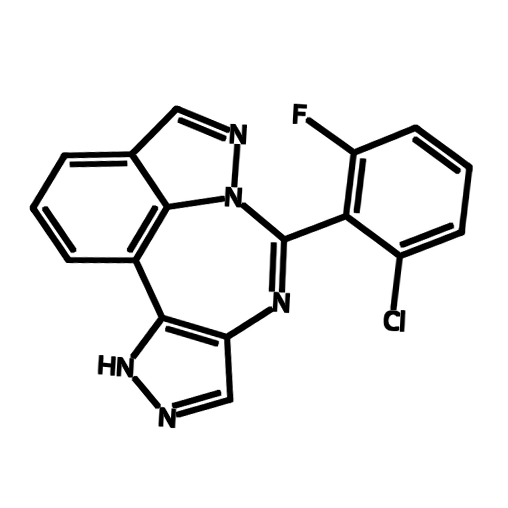 Fc1cccc(Cl)c1C1=Nc2cn[nH]c2-c2cccc3cnn1c23